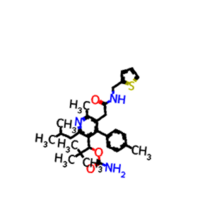 Cc1ccc(-c2c(CC(=O)NCc3cccs3)c(C)nc(CC(C)C)c2C(OC(N)=O)C(C)(C)C)cc1